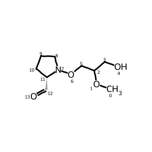 COC(CO)CON1CCC[C@H]1C=O